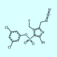 CC(C)c1nc(CN=[N+]=[N-])n(CF)c1S(=O)(=O)Oc1cc(Cl)cc(Cl)c1